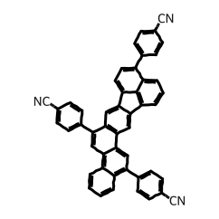 N#Cc1ccc(-c2ccc3c4c(cccc24)-c2cc4c(cc2-3)c(-c2ccc(C#N)cc2)cc2c3ccccc3c(-c3ccc(C#N)cc3)cc42)cc1